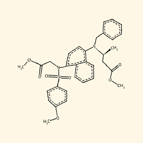 COC(=O)C[C@H](C)N(Cc1ccccc1)c1ccc(N(CC(=O)OC)S(=O)(=O)c2ccc(OC)cc2)c2ccccc12